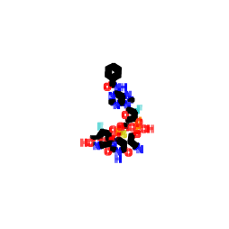 N#CCCOP(=S)(OC[C@@H]1O[C@H](n2cnc3c(NC(=O)c4ccccc4)ncnc32)C(F)C1O[PH](O)(O)OCCC#N)OC1[C@H](F)[C@H](CO)O[C@@H]1n1ccc(=O)[nH]c1=O